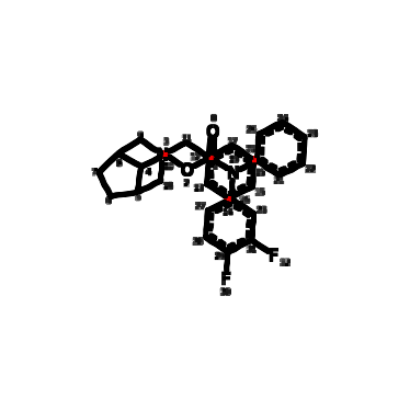 O=C(OCC1C2CCC1CN(Cc1ccccc1)C2)N(c1ccccc1)c1ccc(F)c(F)c1